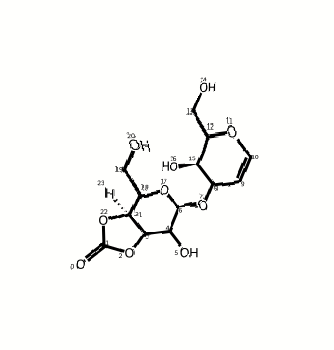 O=C1OC2C(O)[C@H](OC3C=COC(CO)[C@@H]3O)OC(CO)[C@@H]2O1